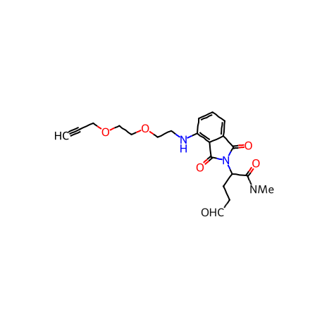 C#CCOCCOCCNc1cccc2c1C(=O)N(C(CCC=O)C(=O)NC)C2=O